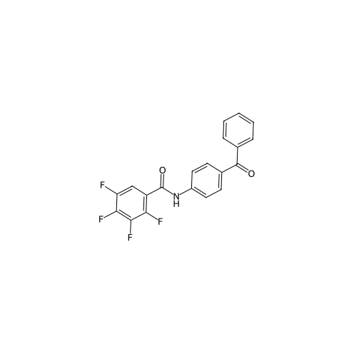 O=C(c1ccccc1)c1ccc(NC(=O)c2cc(F)c(F)c(F)c2F)cc1